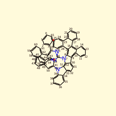 c1ccc(-c2nc(-n3c4c(c5ccccc5c5c6ccccc6c6ccccc6c54)c4ccc5c6ccccc6n(-c6ccc7ccccc7c6)c5c43)nc3ccc4ccccc4c23)cc1